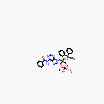 CC1(C)OCC(CO[Si](c2ccccc2)(c2ccccc2)C(C)(C)C)(Cn2cnc3c(NC(=O)c4ccccc4)ncnc32)CO1